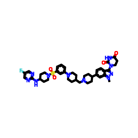 Cn1nc(N2CCC(=O)NC2=O)c2ccc(C3CCN(CC4CCN(c5cccc(S(=O)(=O)N6CCC(Nc7ncc(F)cn7)CC6)c5)CC4)CC3)cc21